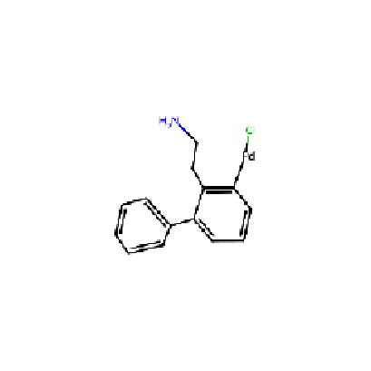 NCCc1[c]([Pd][Cl])cccc1-c1ccccc1